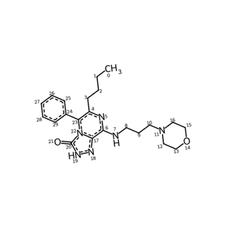 CCCCc1nc(NCCCN2CCOCC2)c2n[nH]c(=O)n2c1-c1ccccc1